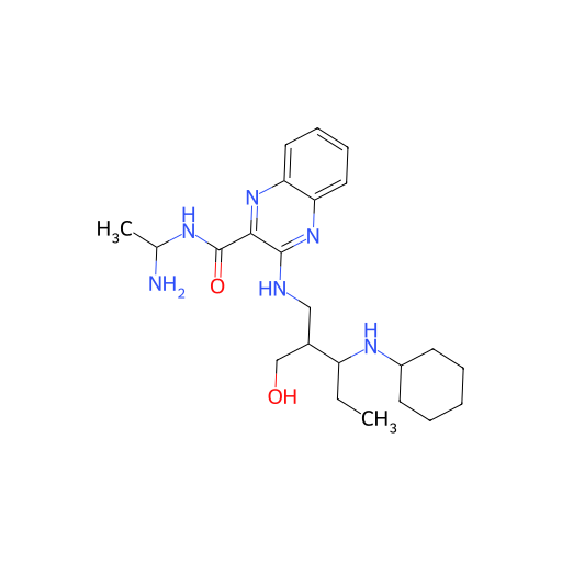 CCC(NC1CCCCC1)C(CO)CNc1nc2ccccc2nc1C(=O)NC(C)N